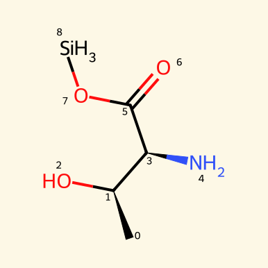 C[C@@H](O)[C@H](N)C(=O)O[SiH3]